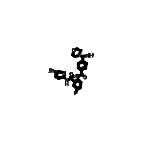 N=C(c1ccc(C(=O)Nc2ccc(F)cc2C(=O)Nc2ccc(Br)cn2)cc1)N1CCOCC1